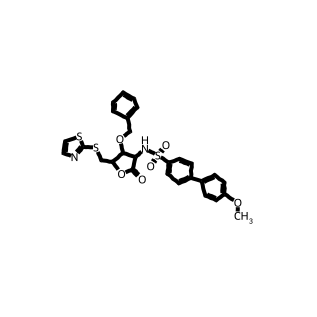 COc1ccc(-c2ccc(S(=O)(=O)NC3C(=O)OC(CSc4nccs4)C3OCc3ccccc3)cc2)cc1